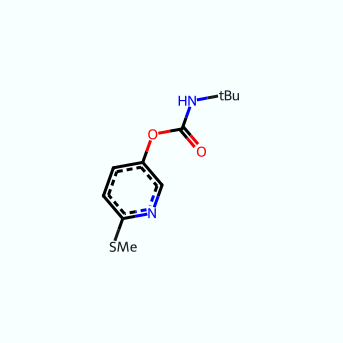 CSc1ccc(OC(=O)NC(C)(C)C)cn1